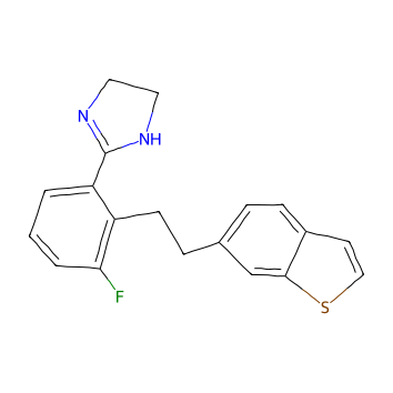 Fc1cccc(C2=NCCN2)c1CCc1ccc2ccsc2c1